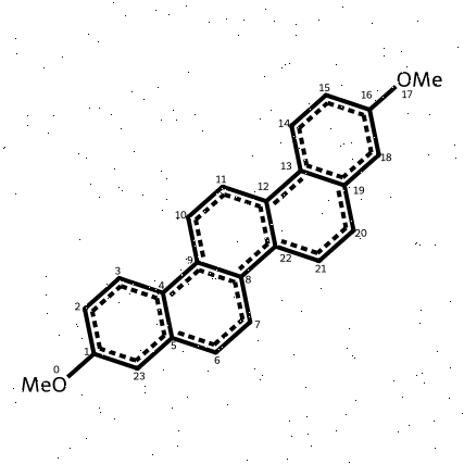 COc1ccc2c(ccc3c2ccc2c4ccc(OC)cc4ccc23)c1